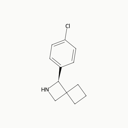 Clc1ccc([C@@H]2NCC23CCC3)cc1